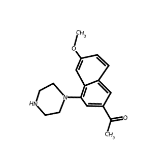 COc1ccc2cc(C(C)=O)cc(N3CCNCC3)c2c1